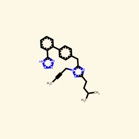 CC#CCn1nc(CCC(C)C)nc1Cc1ccc(-c2ccccc2-c2nnn[nH]2)cc1